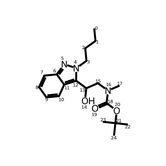 CCCCn1nc2ccccc2c1C(O)CN(C)C(=O)OC(C)(C)C